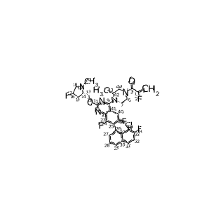 C=C(F)C(=O)N1CCN(c2nc(OC[C@@H]3C[C@@H](F)CN3C)nc3c(F)c(-c4cccc5ccc(F)c(Cl)c45)c(F)cc23)[C@@H](C)C1